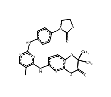 CC1(C)Oc2ccc(Nc3nc(Nc4ccc(N5CCOC5=O)cc4)ncc3F)nc2NC1=O